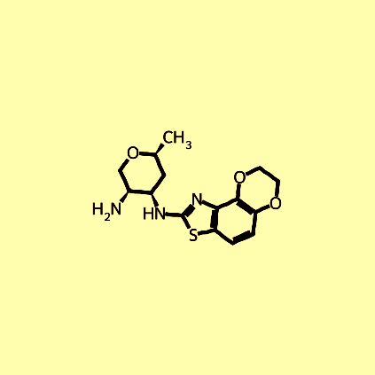 C[C@H]1C[C@@H](Nc2nc3c4c(ccc3s2)OCCO4)[C@@H](N)CO1